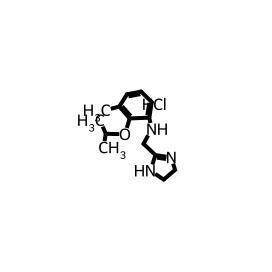 Cc1cccc(NCC2=NCCN2)c1OC(C)C.Cl